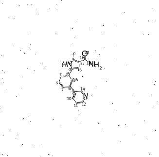 Cc1[nH]c(-c2cccc(-c3cccnc3)c2)cc1C(N)=O